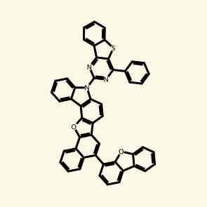 c1ccc(-c2nc(-n3c4ccccc4c4c5oc6c7ccccc7c(-c7cccc8c7oc7ccccc78)cc6c5ccc43)nc3c2sc2ccccc23)cc1